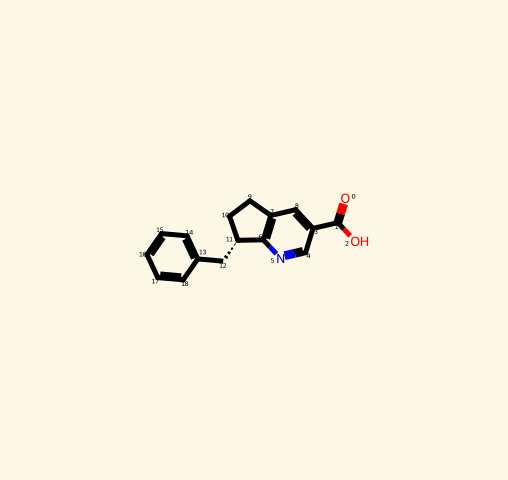 O=C(O)c1cnc2c(c1)CC[C@H]2Cc1ccccc1